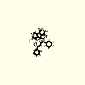 CN1C(=CC(=O)c2ccccc2)N(C2CCCCC2)C(=O)C1(c1ccncc1)c1ccncc1